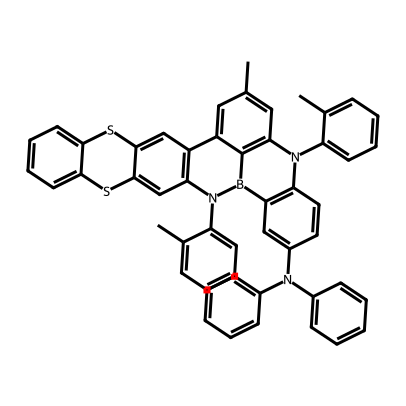 Cc1cc2c3c(c1)N(c1ccccc1C)c1ccc(N(c4ccccc4)c4ccccc4)cc1B3N(c1ccccc1C)c1cc3c(cc1-2)Sc1ccccc1S3